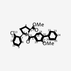 COC(=O)[C@@H]1CC[C@H](c2ccccc2Cl)N1C(=O)c1ccc(-c2ccccc2)c(OC)c1